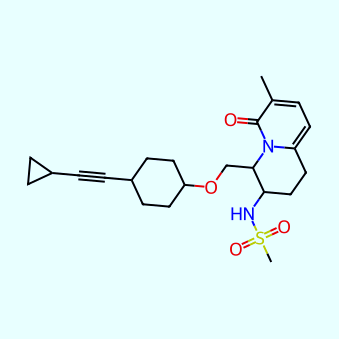 Cc1ccc2n(c1=O)C(COC1CCC(C#CC3CC3)CC1)C(NS(C)(=O)=O)CC2